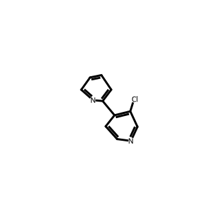 Clc1cnccc1-c1ccccn1